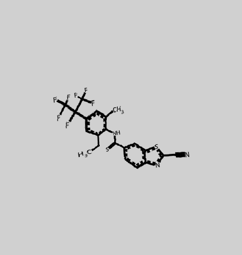 CCc1cc(C(F)(C(F)(F)F)C(F)(F)F)cc(C)c1NC(=S)c1ccc2nc(C#N)sc2c1